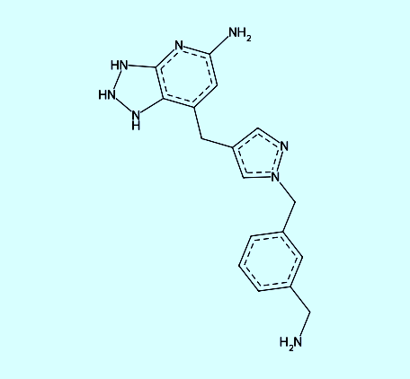 NCc1cccc(Cn2cc(Cc3cc(N)nc4c3NNN4)cn2)c1